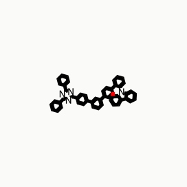 c1ccc(-c2nc(-c3ccccc3)nc(-c3ccc(-c4cccc(-c5ccc(-c6ccccc6-n6c7ccccc7c7ccccc76)cc5)c4)cc3)n2)cc1